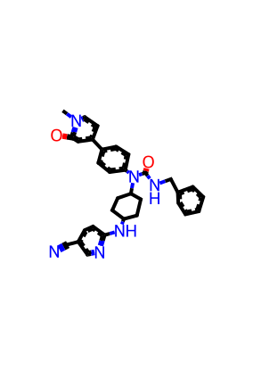 Cn1ccc(-c2ccc(N(C(=O)NCc3ccccc3)C3CCC(Nc4ccc(C#N)cn4)CC3)cc2)cc1=O